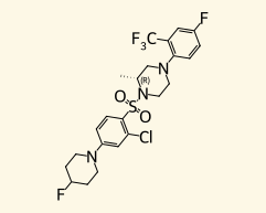 C[C@@H]1CN(c2ccc(F)cc2C(F)(F)F)CCN1S(=O)(=O)c1ccc(N2CCC(F)CC2)cc1Cl